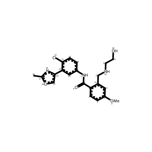 COc1ccc(C(=O)Nc2ccc(Cl)c(-c3coc(C)n3)c2)c(CNCCO)c1